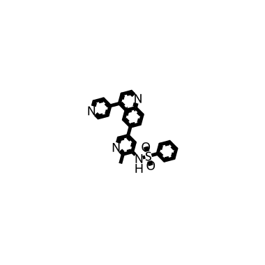 Cc1ncc(-c2ccc3nccc(-c4ccncc4)c3c2)cc1NS(=O)(=O)c1ccccc1